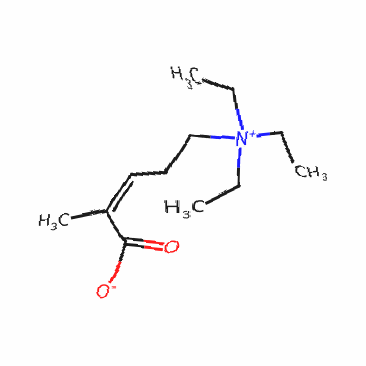 CC[N+](CC)(CC)CCC=C(C)C(=O)[O-]